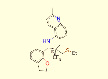 CCSC[C@@](C)(C(Nc1cccc2nc(C)ccc12)c1cccc2c1OCC2)C(F)(F)F